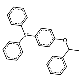 CC(Oc1ccc([S+](c2ccccc2)c2ccccc2)cc1)c1ccccc1